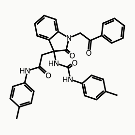 Cc1ccc(NC(=O)CC2(NC(=O)Nc3ccc(C)cc3)C(=O)N(CC(=O)c3ccccc3)c3ccccc32)cc1